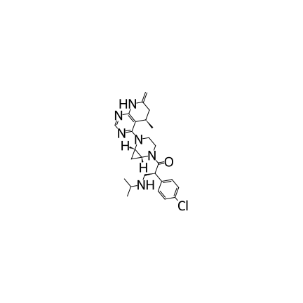 C=C1C[C@@H](C)c2c(ncnc2N2CCN(C(=O)[C@H](CNC(C)C)c3ccc(Cl)cc3)[C@@H]3C[C@@H]32)N1